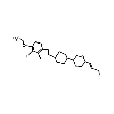 CCOc1ccc(CCC2CCC(C3CCC(/C=C/CF)OC3)CC2)c(F)c1F